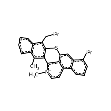 Cc1c2c(c(CC(C)C)c3ccccc13)Sc1cc3c(C(C)C)cccc3c3cc[n+](C)c-2c13